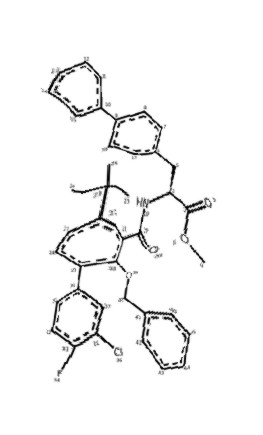 COC(=O)[C@H](Cc1ccc(-c2ccccc2)cc1)NC(=O)c1c(C(C)(C)C)ccc(-c2ccc(F)c(Cl)c2)c1OCc1ccccc1